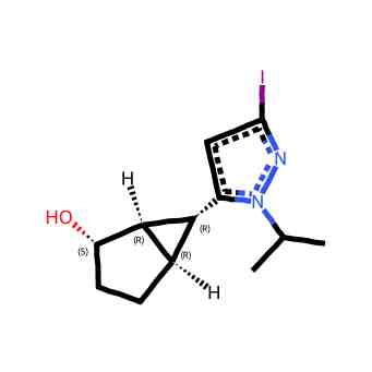 CC(C)n1nc(I)cc1[C@@H]1[C@H]2CC[C@H](O)[C@H]21